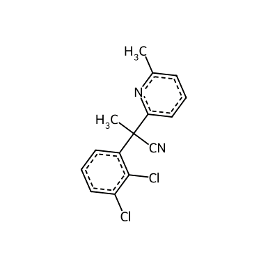 Cc1cccc(C(C)(C#N)c2cccc(Cl)c2Cl)n1